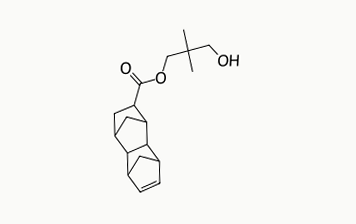 CC(C)(CO)COC(=O)C1CC2CC1C1C3C=CC(C3)C21